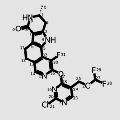 C[C@@H]1Cc2[nH]c3c(c2C(=O)N1)CCc1cnc(Oc2nc(Cl)ncc2COC(F)F)c(F)c1-3